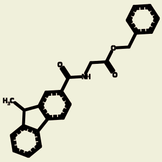 CC1c2ccccc2-c2ccc(C(=O)NCC(=O)OCc3ccccc3)cc21